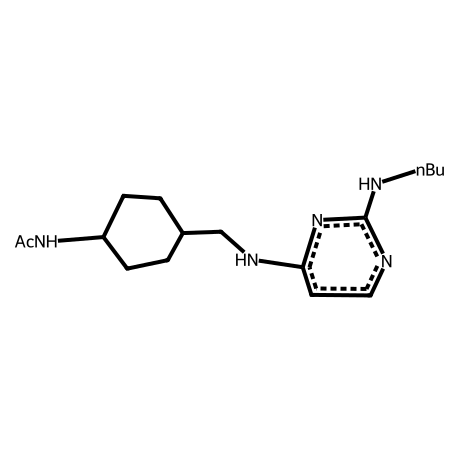 CCCCNc1nccc(NCC2CCC(NC(C)=O)CC2)n1